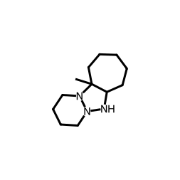 CC12CCCCCC1NN1CCCCN12